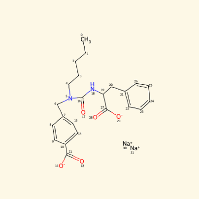 CCCCCN(Cc1ccc(C(=O)[O-])cc1)C(=O)NC(Cc1ccccc1)C(=O)[O-].[Na+].[Na+]